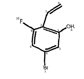 C=Cc1c(O)cc(Br)cc1F